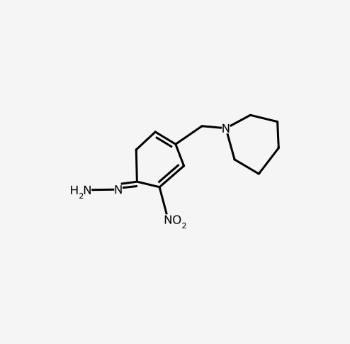 NN=C1CC=C(CN2CCCCC2)C=C1[N+](=O)[O-]